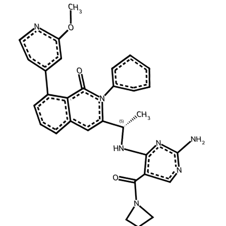 COc1cc(-c2cccc3cc([C@H](C)Nc4nc(N)ncc4C(=O)N4CCC4)n(-c4ccccc4)c(=O)c23)ccn1